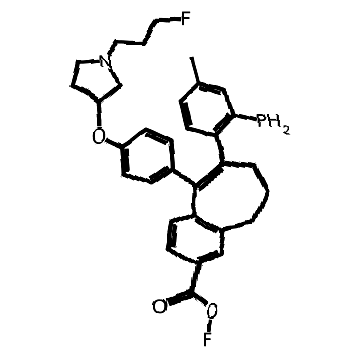 Cc1ccc(C2=C(c3ccc(OC4CCN(CCCF)C4)cc3)c3ccc(C(=O)OF)cc3CCC2)c(P)c1